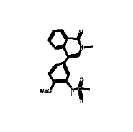 COc1ccc(-c2cn(C)c(=O)c3ccccc23)cc1NS(C)(=O)=O